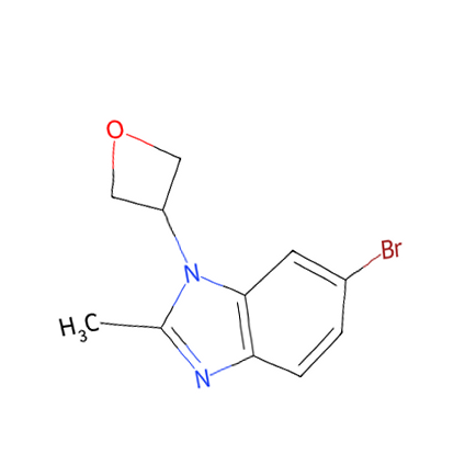 Cc1nc2ccc(Br)cc2n1C1COC1